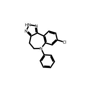 Clc1ccc2c(c1)N(c1ccccc1)CCc1n[nH]nc1-2